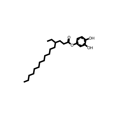 CCCCCCCCCCCCC(CC)CCC(=O)Oc1ccc(O)c(O)c1